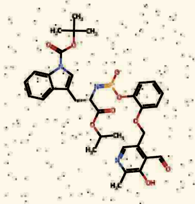 Cc1ncc(COc2ccccc2O[P+]([O-])=N[C@@H](Cc2cn(C(=O)OC(C)(C)C)c3ccccc23)C(=O)OC(C)C)c(C=O)c1O